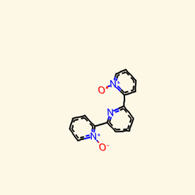 [O-][n+]1ccccc1-c1cccc(-c2cccc[n+]2[O-])n1